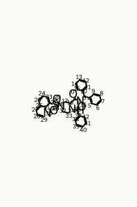 O=C(NC(c1ccccc1)c1ccccc1)C1CN(S(=O)(=O)c2cccc3cccnc23)CCN1C(=O)c1ccccc1